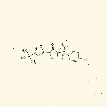 CC(C)(C)c1cc(N2CCC(C)(S(=O)(=O)c3ccc(Cl)cc3)C2=O)on1